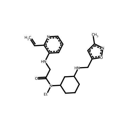 C=Cc1ncccc1NCC(=O)N(CC)C1CCCC(NCc2cc(C)no2)C1